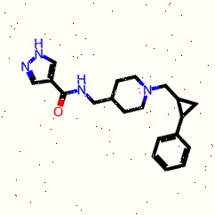 O=C(NCC1CCN(CC2CC2c2ccccc2)CC1)c1cn[nH]c1